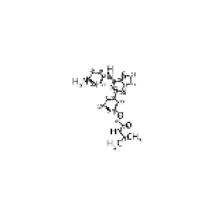 CC(C)NC(=O)COc1cccc(-c2nc(Nc3ccc(N)nc3)c3sccc3n2)c1